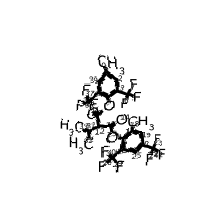 Cc1cc(C(F)(F)F)c(OC(=O)C(C(=O)Oc2c(C)cc(C(F)(F)F)cc2C(F)(F)F)C(C)C)c(C(F)(F)F)c1